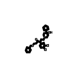 O=C(CCOCc1ccccc1)C(CCN1CCC(O)(c2ccccc2)CC1)c1ccc(Cl)c(Cl)c1